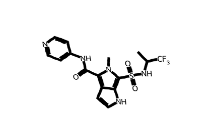 CC(NS(=O)(=O)c1c2[nH]ccc2c(C(=O)Nc2ccncc2)n1C)C(F)(F)F